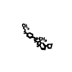 CCCSc1ccc(NSc2sc3ccc(Cl)cc3c2C)cc1